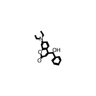 CCN(CC)c1ccc2c(C(O)c3ccccc3)cc(=O)oc2c1